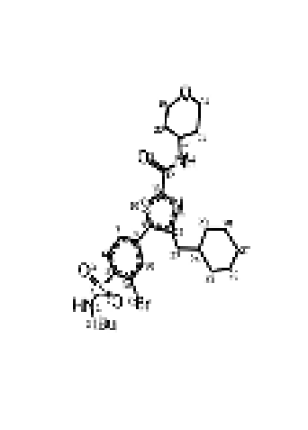 CC(C)(C)NS(=O)(=O)c1ccc(-c2sc(C(=O)NC3CCOCC3)nc2CC2CCCCC2)cc1Br